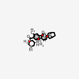 CCN1CCC[C@H](NC(=O)c2ccc(N3C4CCC3CC(NC(=O)c3cc(C)c(C(N)=O)cc3C)C4)nc2)C1